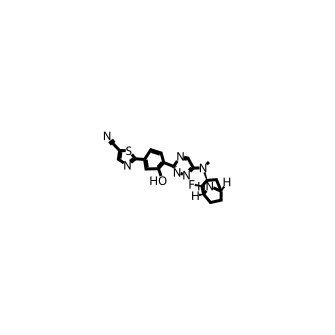 CN(c1cnc(-c2ccc(-c3ncc(C#N)s3)cc2O)nn1)[C@H]1C[C@@H]2CC[C@@H](N2)[C@H]1F